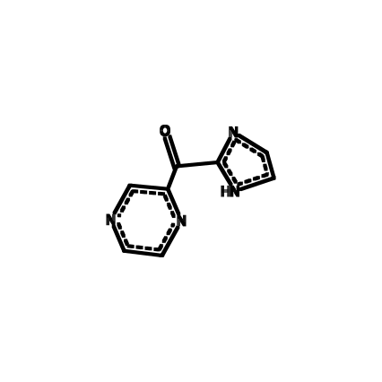 O=C(c1cnccn1)c1ncc[nH]1